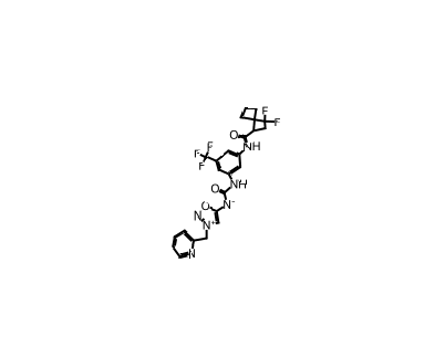 O=C([N-]c1c[n+](Cc2ccccn2)no1)Nc1cc(NC(=O)C2CC(F)(F)C23CCC3)cc(C(F)(F)F)c1